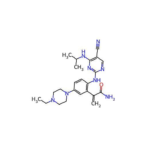 C=C(C(N)=O)c1cc(N2CCN(CC)CC2)ccc1Nc1ncc(C#N)c(NC(C)C)n1